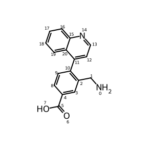 NCc1cc(C(=O)O)ccc1-c1ccnc2ccccc12